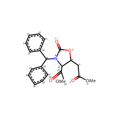 COC(=O)CC1OC(=O)N(C(c2ccccc2)c2ccccc2)C1C(=O)OC